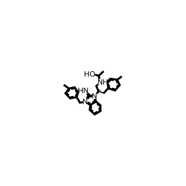 Cc1ccc(C[C@H](CNC(C)O)n2c(=N)n(Cc3ccc(C)cc3)c3ccccc32)cc1